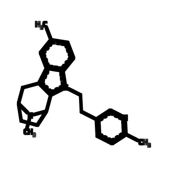 Cc1ccc2c(c1)c1c(n2CCc2ccc(C)nc2)C2CCC(C1)N2C